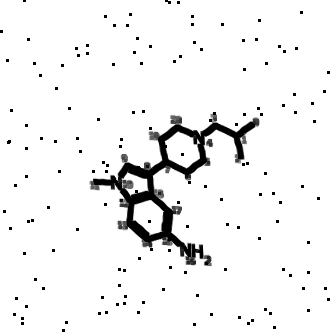 CC(C)CN1CCC(c2cn(C)c3ccc(N)cc23)CC1